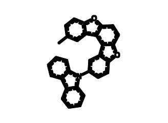 Cc1ccc2oc3ccc4oc5ccc(-n6c7ccccc7c7ccccc76)cc5c4c3c2c1